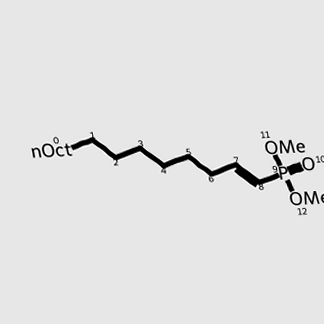 CCCCCCCCCCCCCC/C=C/P(=O)(OC)OC